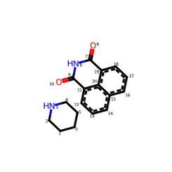 C1CCNCC1.O=C1NC(=O)c2cccc3cccc1c23